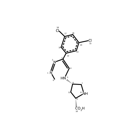 C/N=N\C(=C/N[C@@H]1CN[C@H](C(=O)O)C1)c1cc(Cl)cc(Cl)c1